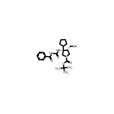 CC(C)(C)OC(=O)N1C[C@@H](CO)[C@](NC(=S)NC(=O)c2ccccc2)(C2CCCC2)C1